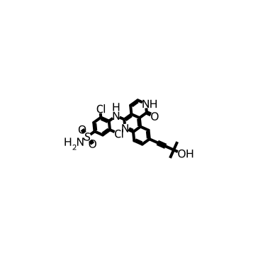 CC(C)(O)C#Cc1ccc2nc(Nc3c(Cl)cc(S(N)(=O)=O)cc3Cl)c3cc[nH]c(=O)c3c2c1